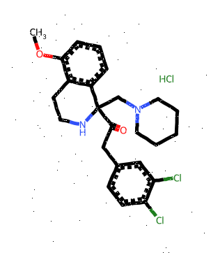 COc1cccc2c1CCNC2(CN1CCCCC1)C(=O)Cc1ccc(Cl)c(Cl)c1.Cl